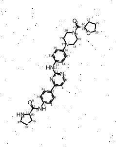 O=C(Nc1ccc(-c2ccnc(Nc3ccc(N4CCN(C(=O)[C@H]5CCCO5)CC4)cc3)n2)cc1)[C@H]1CCCN1